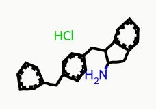 Cl.NC1Cc2ccccc2C1Cc1ccc(Cc2ccccc2)cc1